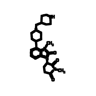 CN1C(=O)CCC(n2c(=O)n(C)c3c(C4CCN(CC5CCNCC5)CC4)cccc32)C1=O